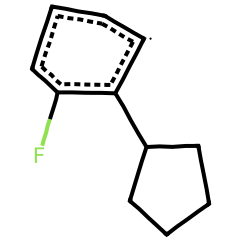 Fc1ccc[c]c1C1CCCC1